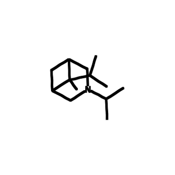 CC(C)N1CC2CC(C1)C2(C)C(C)C